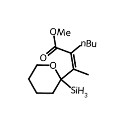 CCCCC(C(=O)OC)=C(C)C1([SiH3])CCCCO1